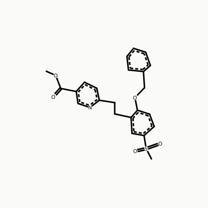 COC(=O)c1ccc(CCc2cc(S(C)(=O)=O)ccc2OCc2ccccc2)nc1